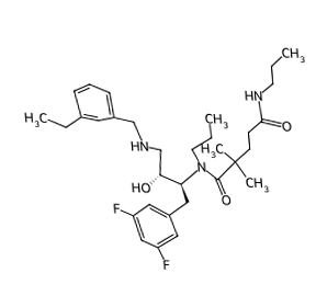 CCCNC(=O)CCC(C)(C)C(=O)N(CCC)[C@@H](Cc1cc(F)cc(F)c1)[C@H](O)CNCc1cccc(CC)c1